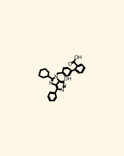 O=C(O)c1ccccc1-c1ccc(Cn2c(C3CCCCC3)nc3c(-c4ccccc4)nnc(O)c32)cc1